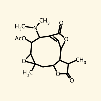 CC(=O)OC1C(N(C)C)C2=CC(OC2=O)C2C(CC3(C)OC13)OC(=O)C2C